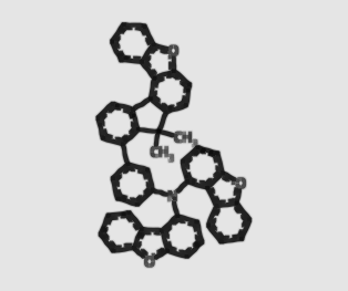 CC1(C)c2ccc3oc4ccccc4c3c2-c2cccc(-c3cccc(N(c4cccc5oc6ccccc6c45)c4cccc5oc6ccccc6c45)c3)c21